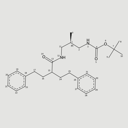 C[C@@H](CNC(=O)OC(C)(C)C)CNC(=O)C(CCc1ccccc1)CCc1ccccc1